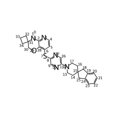 CN1c2nccc(Sc3cnc(N4CCC5(CC4)Cc4ccccc4C5)cn3)c2OCC12CCC2